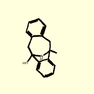 CC12Cc3ccccc3CC(O)(N1)c1ccccc12